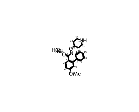 COc1ccc(C(=O)NOC2CCNCC2)c(-c2ccccc2)c1.Cl.Cl